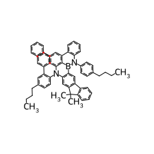 CCCCc1ccc(N2B3c4cc5c(cc4N(c4ccc(CCCC)cc4-c4ccccc4)c4cc(-c6ccccc6)cc(c43)-c3ccccc32)C(C)(C)c2ccccc2-5)cc1